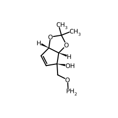 CC1(C)O[C@H]2C=C[C@@](O)(COP)[C@H]2O1